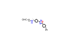 CC(C)Cc1ccc(-c2nc(-c3ccc([C@@H](C)NC4CC(C=O)C4)cc3)no2)cc1